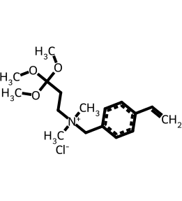 C=Cc1ccc(C[N+](C)(C)CCC(OC)(OC)OC)cc1.[Cl-]